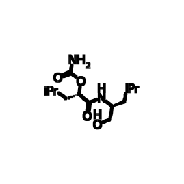 CC(C)C[C@@H](CO)NC(=O)[C@H](CC(C)C)OC(N)=O